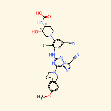 CCN(Cc1ccc(OC)cc1)c1nc(Nc2cc(C#N)cc(N3CC[C@@H](NC(=O)O)[C@@H](O)C3)c2Cl)nn2c(C#N)cnc12